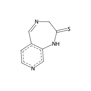 S=C1CN=Cc2ccncc2N1